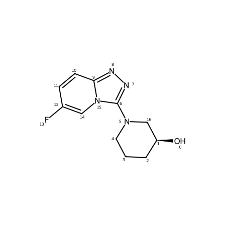 O[C@H]1CCCN(c2nnc3ccc(F)cn23)C1